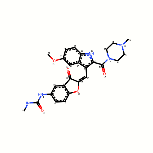 CNC(=O)Nc1ccc2c(c1)C(=O)C(=Cc1c(C(=O)N3CCN(C)CC3)[nH]c3ccc(OC)cc13)O2